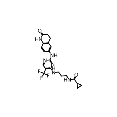 O=C1CCc2cc(Nc3ncc(C(F)(F)F)c(NCCCNC(=O)C4CC4)n3)ccc2N1